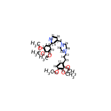 COc1cc(-c2cc(CN3CCN(CCCc4ccc(OC)c(OC)c4OC)CC3)ccn2)cc(OC)c1OC